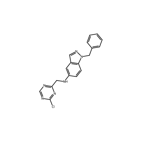 Clc1ncnc(CNc2ccc3c(cnn3Cc3ccccc3)c2)n1